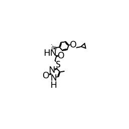 Cc1c[nH]c(=O)nc1SCC(=O)N[C@H](C)c1ccc(OCC2CC2)cc1